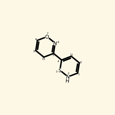 C1=CNSC(C2=NOC=CC2)=C1